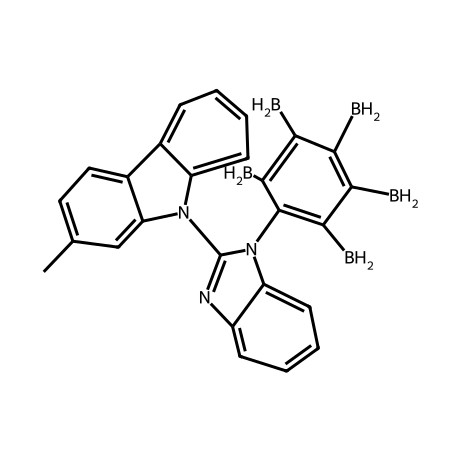 Bc1c(B)c(B)c(-n2c(-n3c4ccccc4c4ccc(C)cc43)nc3ccccc32)c(B)c1B